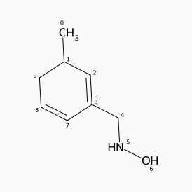 CC1C=C(CNO)C=CC1